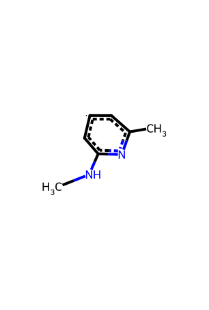 CNc1c[c]cc(C)n1